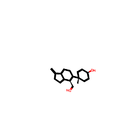 C=C1CCC2C1CCC([C@]1(C)CC[C@@H](O)CC1)[C@H]2CO